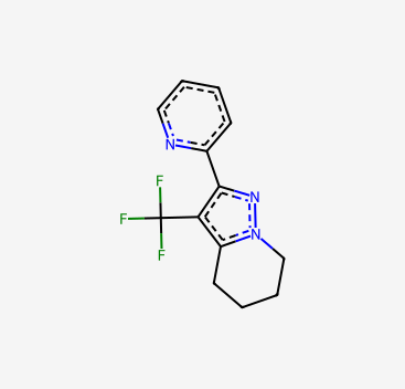 FC(F)(F)c1c(-c2ccccn2)nn2c1CCCC2